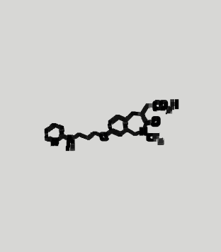 O=C(O)CC1Cc2ccc(OCCCNc3ccccn3)cc2CN(C(F)(F)F)C1=O